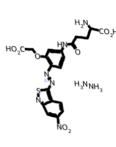 N.N.NC(CCC(=O)Nc1ccc(/N=N/c2snc3cc([N+](=O)[O-])ccc23)c(OCC(=O)O)c1)C(=O)O